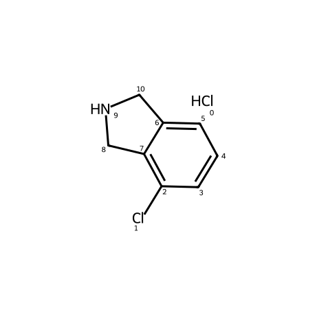 Cl.Clc1cccc2c1CNC2